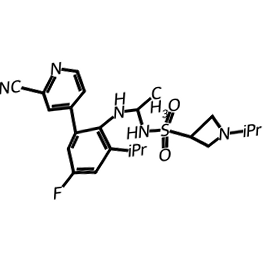 CC(Nc1c(-c2ccnc(C#N)c2)cc(F)cc1C(C)C)NS(=O)(=O)C1CN(C(C)C)C1